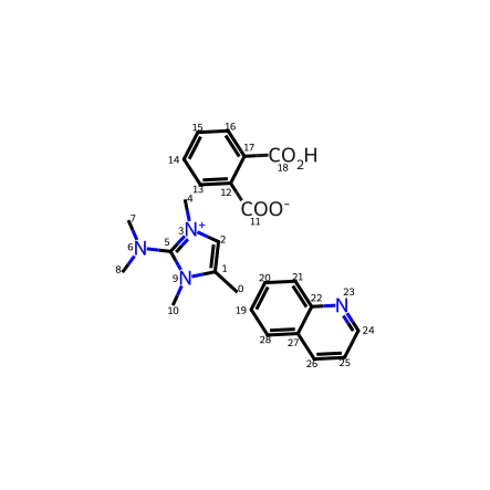 Cc1c[n+](C)c(N(C)C)n1C.O=C([O-])c1ccccc1C(=O)O.c1ccc2ncccc2c1